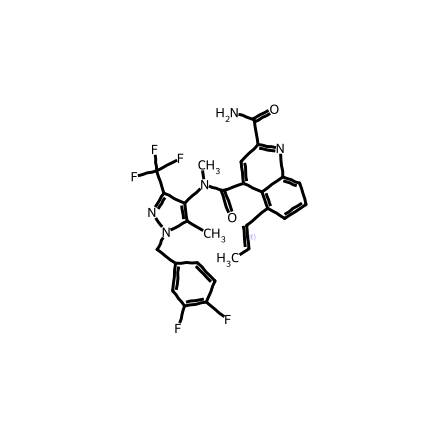 C/C=C/c1cccc2nc(C(N)=O)cc(C(=O)N(C)c3c(C(F)(F)F)nn(Cc4ccc(F)c(F)c4)c3C)c12